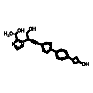 C[C@H](O)c1nccn1C(C#Cc1ccc(-c2ccc(C3CC(O)C3)cc2)cc1)CO